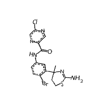 CC1(c2cc(NC(=O)c3cnc(Cl)cn3)ccc2Br)CCSC(N)=N1